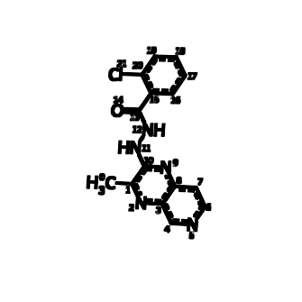 Cc1nc2cnccc2nc1NNC(=O)c1ccccc1Cl